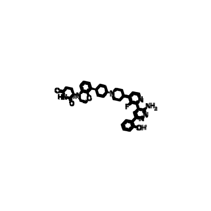 Nc1nnc(-c2ccccc2O)cc1-c1nccc(C2CCN([C@H]3CC[C@H](c4cccc5c4OCCN5[C@@H]4CCC(=O)NC4=O)CC3)CC2)c1F